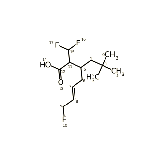 CC(C)(C)CC(CC=CCF)C(C(=O)O)C(F)F